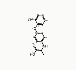 CC(Nc1ccc(Oc2ccccc2Cl)cc1)C(=O)O